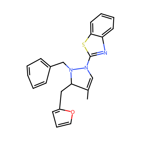 CC1=CN(c2nc3ccccc3s2)N(Cc2ccccc2)C1Cc1ccco1